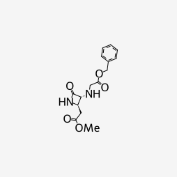 COC(=O)C[C@H]1NC(=O)[C@@H]1NCC(=O)OCc1ccccc1